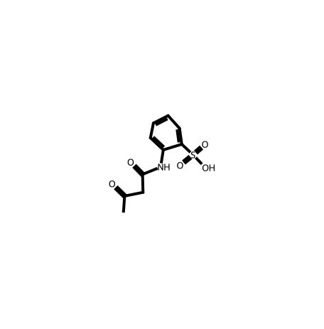 CC(=O)CC(=O)Nc1ccccc1S(=O)(=O)O